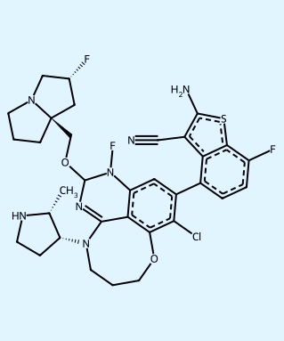 C[C@H]1NCC[C@H]1N1CCCOc2c(Cl)c(-c3ccc(F)c4sc(N)c(C#N)c34)cc3c2C1=NC(OC[C@@]12CCCN1C[C@H](F)C2)N3F